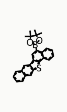 CC1(C)OB(c2cc3c4cc5ccccc5cc4sc3c3ccccc23)OC1(C)C